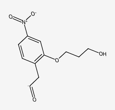 O=[C]Cc1ccc([N+](=O)[O-])cc1OCCCO